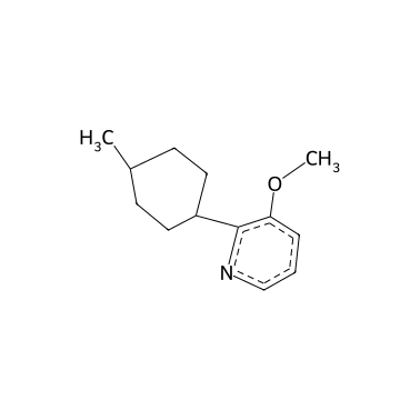 COc1cccnc1C1CCC(C)CC1